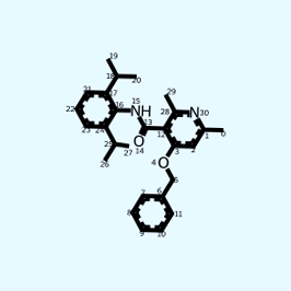 Cc1cc(OCc2ccccc2)c(C(=O)Nc2c(C(C)C)cccc2C(C)C)c(C)n1